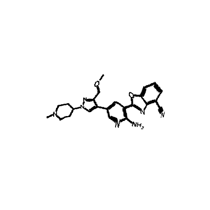 COCc1nn(C2CCN(C)CC2)cc1-c1cnc(N)c(-c2nc3c(C#N)cccc3o2)c1